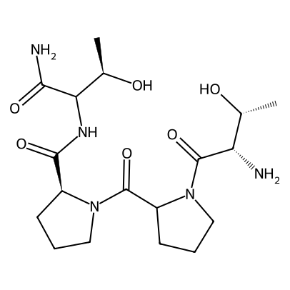 C[C@@H](O)C(NC(=O)[C@@H]1CCCN1C(=O)C1CCCN1C(=O)[C@@H](N)[C@@H](C)O)C(N)=O